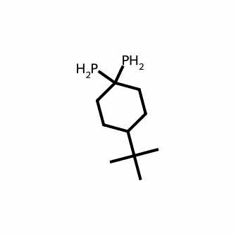 CC(C)(C)C1CCC(P)(P)CC1